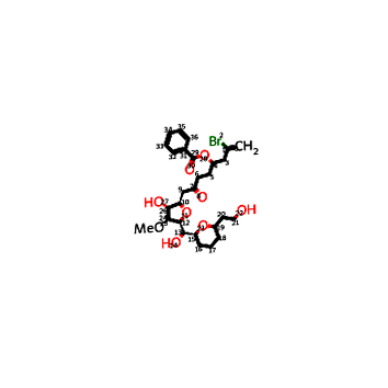 C=C(Br)CC(CCC(=O)C[C@H]1O[C@@H](C(O)[C@@H]2CCCC(CCO)O2)[C@@H](OC)[C@H]1O)OC(=O)c1ccccc1